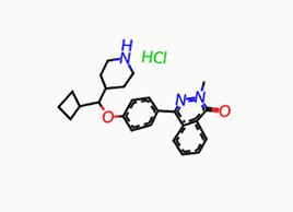 Cl.Cn1nc(-c2ccc(OC(C3CCC3)C3CCNCC3)cc2)c2ccccc2c1=O